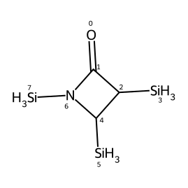 O=C1C([SiH3])C([SiH3])N1[SiH3]